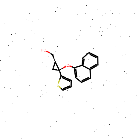 OC[C@@H]1C[C@@]1(Oc1cccc2ccccc12)c1cccs1